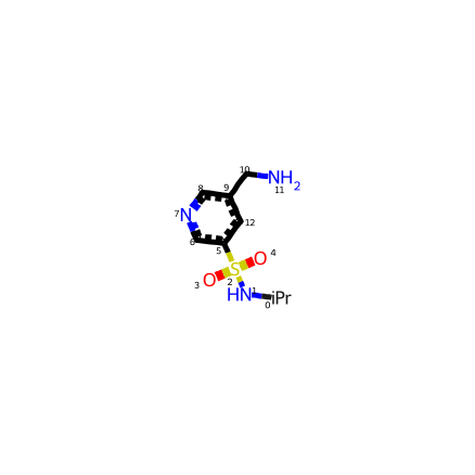 CC(C)NS(=O)(=O)c1cncc(CN)c1